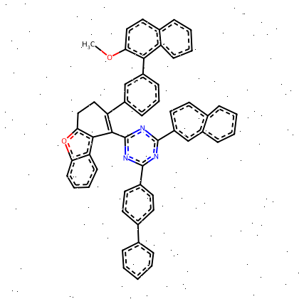 COc1ccc2ccccc2c1-c1cccc(C2=C(c3nc(-c4ccc(-c5ccccc5)cc4)nc(-c4ccc5ccccc5c4)n3)c3c(oc4ccccc34)CC2)c1